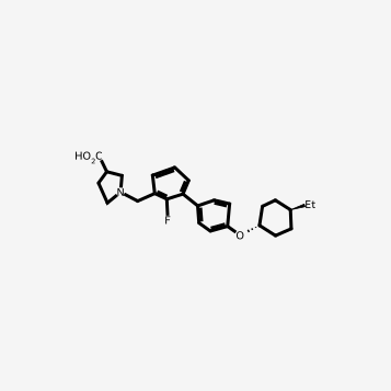 CC[C@H]1CC[C@H](Oc2ccc(-c3cccc(CN4CCC(C(=O)O)C4)c3F)cc2)CC1